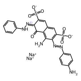 Nc1ccc(N=Nc2c(S(=O)(=O)[O-])cc3c(c2N)C(=O)/C(=N\Nc2ccccc2)C(S(=O)(=O)[O-])=C3)cc1.[Na+].[Na+]